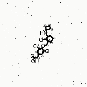 O=C(O)Cc1cc(Cl)c(OCc2cccc(NC3CCC3)c2Cl)c(Cl)c1